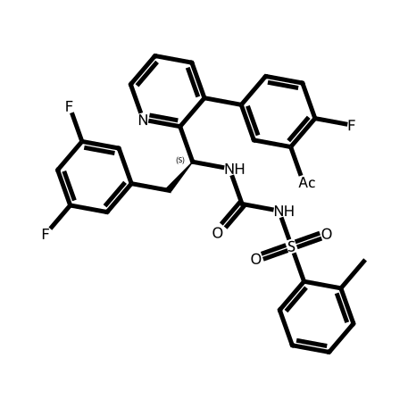 CC(=O)c1cc(-c2cccnc2[C@H](Cc2cc(F)cc(F)c2)NC(=O)NS(=O)(=O)c2ccccc2C)ccc1F